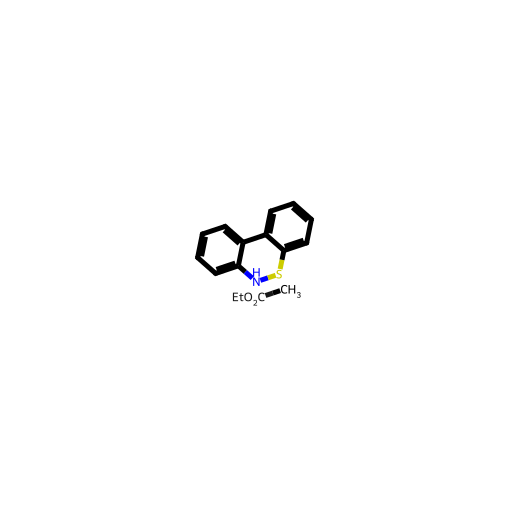 CCOC(C)=O.c1ccc2c(c1)NSc1ccccc1-2